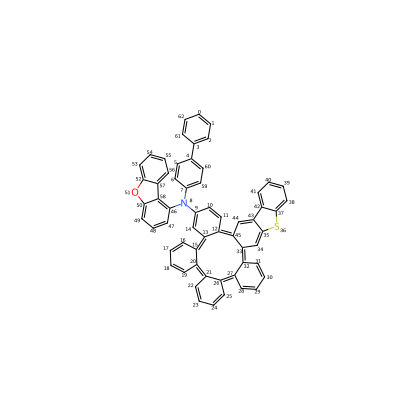 c1ccc(-c2ccc(N(c3ccc4c(c3)c3ccccc3c3ccccc3c3ccccc3c3cc5sc6ccccc6c5cc43)c3cccc4oc5ccccc5c34)cc2)cc1